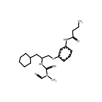 CCCC(=O)Nc1cccc(OCC(CC2CCCCC2)NC(=N)N(C)C=O)c1